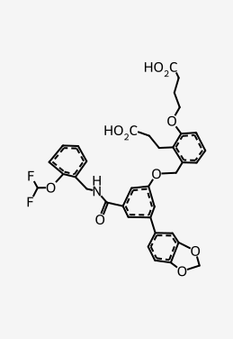 O=C(O)CCCOc1cccc(COc2cc(C(=O)NCc3ccccc3OC(F)F)cc(-c3ccc4c(c3)OCO4)c2)c1CCC(=O)O